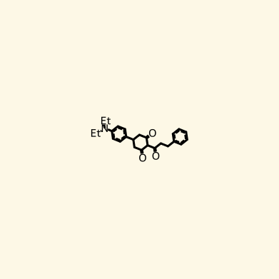 CCN(CC)c1ccc(C2CC(=O)C(C(=O)CCc3ccccc3)C(=O)C2)cc1